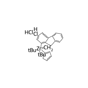 Cl.Cl.[CH2]=[Zr]([C]1=CC=CC1)([c]1cccc2c1Cc1ccccc1-2)([C](C)(C)C)[C](C)(C)C